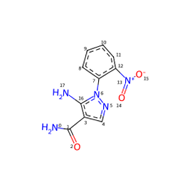 NC(=O)c1cnn(-c2ccccc2[N+](=O)[O-])c1N